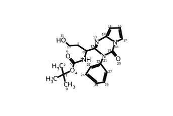 CC(C)(C)OC(=O)NC(CCO)c1nc2cccn2c(=O)n1-c1ccccc1